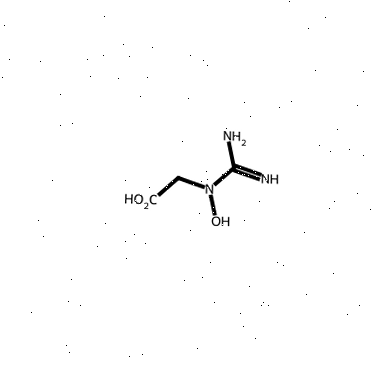 N=C(N)N(O)CC(=O)O